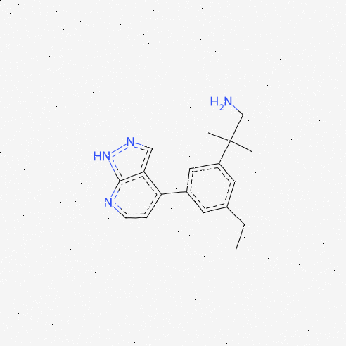 CCc1cc(-c2ccnc3[nH]ncc23)cc(C(C)(C)CN)c1